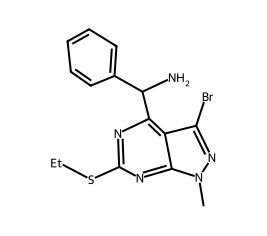 CCSc1nc(C(N)c2ccccc2)c2c(Br)nn(C)c2n1